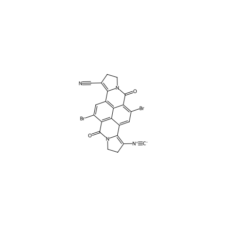 [C-]#[N+]C1=c2c3cc(Br)c4c(=O)n5c(c6cc(Br)c(c(=O)n2CC1)c3c64)=C(C#N)CC5